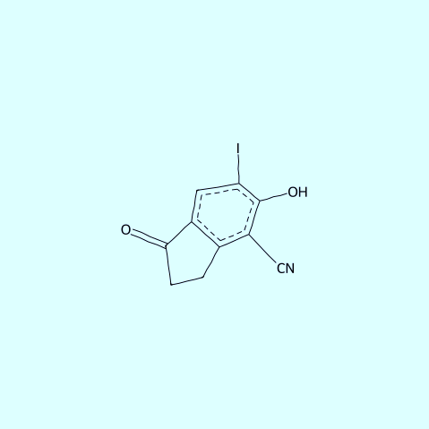 N#Cc1c(O)c(I)cc2c1CCC2=O